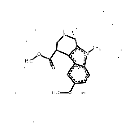 COC(=O)C1CNCc2c1c1cc(OC)ccc1n2C.Cl